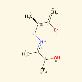 C=C(Br)[C@H](C)C/N=C(\C)C(O)C(F)(F)F